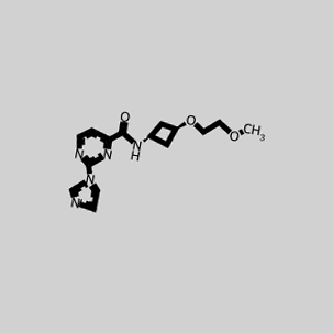 COCCO[C@H]1C[C@H](NC(=O)c2ccnc(-n3ccnc3)n2)C1